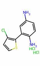 Cl.Cl.Nc1ccc(N)c(-c2sccc2Cl)c1